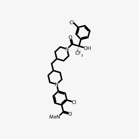 CNC(=O)c1ccc(N2CCC(CC3CCN(C(=O)[C@](O)(c4cccc(Cl)c4)C(F)(F)F)CC3)CC2)cc1Cl